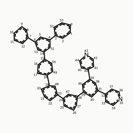 c1ccc(-c2cc(-c3ccccc3)cc(-c3ccc(-c4cccc(-c5cccc(-c6cc(-c7ccncc7)cc(-c7ccncc7)c6)c5)c4)cc3)c2)cc1